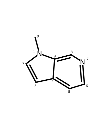 Cn1[c]cc2ccncc21